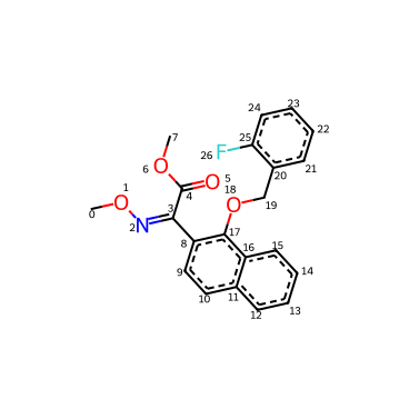 CON=C(C(=O)OC)c1ccc2ccccc2c1OCc1ccccc1F